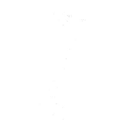 COc1cc(OCCOCCOCCOCCOS(=O)(=O)c2ccc(C)cc2)ccc1NC(=O)OC(C)(C)C